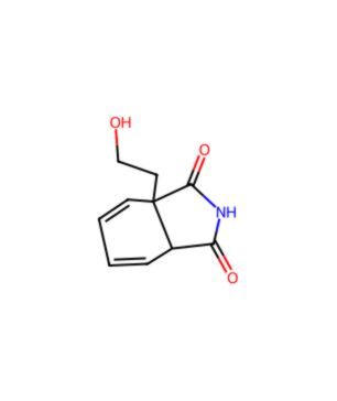 O=C1NC(=O)C2(CCO)C=CC=CC12